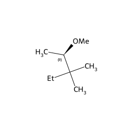 CCC(C)(C)[C@@H](C)OC